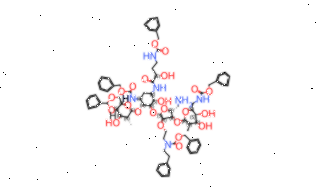 C[C@H]1[C@@H](O[C@H]2[C@@H](OCCN(CCc3ccccc3)C(=O)OCc3ccccc3)[C@H](O[C@@H]3[C@@H](O)[C@H](NC(=O)[C@@H](O)CCNC(=O)OCc4ccccc4)C[C@H](NC(=O)OCc4ccccc4)[C@H]3O[C@H]3O[C@@H]4COC(c5ccccc5)O[C@H]4[C@H](O)[C@H]3C)O[C@@H]2CN)O[C@@H](CNC(=O)OCc2ccccc2)[C@@H](O)[C@@H]1O